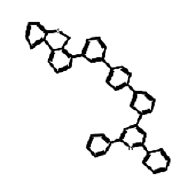 c1ccc(-c2cc(-c3cccc(-c4ccc(-c5cccc(-c6cccc7c6CSc6ccccc6-7)c5)cc4)c3)cc(-c3ccccc3)n2)cc1